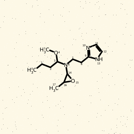 CCCC(OC)N(CCc1ncc[nH]1)C1OC1C